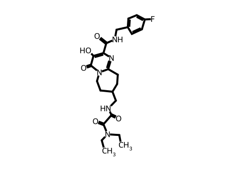 CCN(CC)C(=O)C(=O)NCC1CCc2nc(C(=O)NCc3ccc(F)cc3)c(O)c(=O)n2CC1